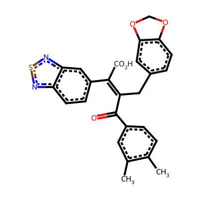 Cc1ccc(C(=O)C(Cc2ccc3c(c2)OCO3)=C(C(=O)O)c2ccc3nsnc3c2)cc1C